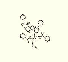 CC#C[C@H](OC(=O)c1ccccc1)[C@@](F)(COC(=O)c1ccccc1)O[C@H](COC(=O)c1ccccc1)n1ccc2c(NC(=O)c3ccccc3)ncnc21